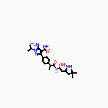 CC(C(=O)N/C(O)=C/C(=N)CC(C)(C)C)c1ccc(-c2nn(C(C)C)c(N)c2C(N)=O)cc1